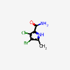 Cc1[nH]c(C(N)=O)c(Cl)c1Br